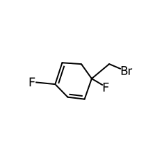 FC1=CCC(F)(CBr)C=C1